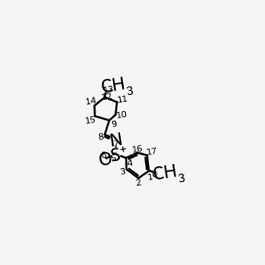 Cc1ccc([S+]([O-])N=CC2CCC(C)CC2)cc1